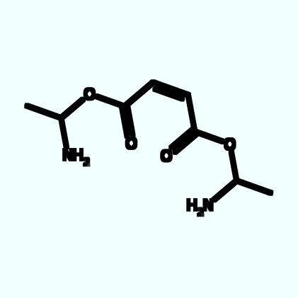 CC(N)OC(=O)/C=C\C(=O)OC(C)N